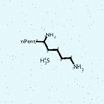 CCCCCC(N)CCCCN.S